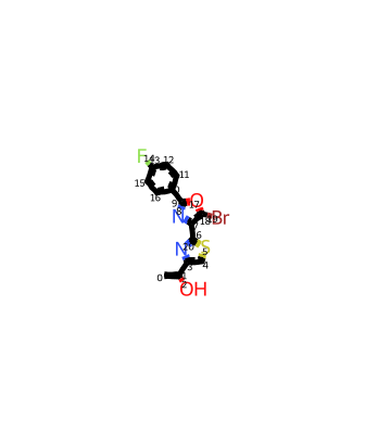 C=C(O)c1csc(-c2nc(-c3ccc(F)cc3)oc2Br)n1